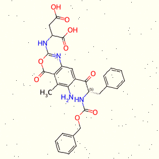 Cc1c(N)c(C(=O)[C@H](Cc2ccccc2)NC(=O)OCc2ccccc2)cc2nc(NC(CC(=O)O)C(=O)O)oc(=O)c12